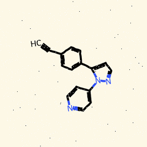 C#Cc1ccc(-c2ccnn2-c2ccncc2)cc1